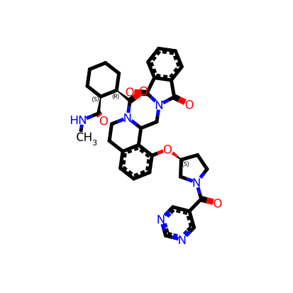 CNC(=O)[C@H]1CCCC[C@H]1C(=O)N1CCc2cccc(O[C@H]3CCN(C(=O)c4cncnc4)C3)c2C1CN1C(=O)c2ccccc2C1=O